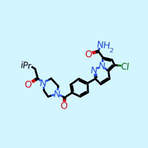 CC(C)CC(=O)N1CCN(C(=O)c2ccc(-c3ccc4c(Cl)cc(C(N)=O)n4n3)cc2)CC1